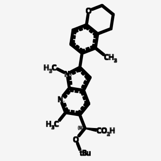 Cc1nc2c(cc1[C@H](OC(C)(C)C)C(=O)O)cc(-c1ccc3c(c1C)CCCO3)n2C